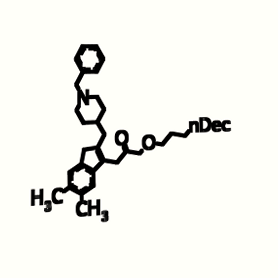 CCCCCCCCCCCCCOCC(=O)CC1=C(CC2CCN(Cc3ccccc3)CC2)Cc2cc(C)c(C)cc21